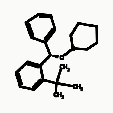 CC(C)(C)c1ccccc1[C@@H](ON1CCCCC1)c1ccccc1